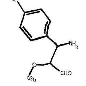 CC(C)(C)OC(C=O)C(N)c1ccc(Br)cc1